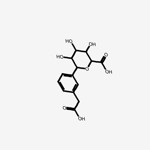 O=C(O)Cc1cccc(C2OC(C(=O)O)C(O)C(O)C2O)c1